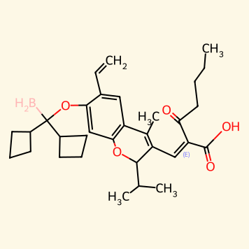 BC(Oc1cc2c(cc1C=C)C(C)=C(/C=C(/C(=O)O)C(=O)CCCC)C(C(C)C)O2)(C1CCC1)C1CCC1